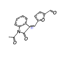 CC(=O)N1C(=O)/C(=C/c2ccc(C=O)o2)c2ccccc21